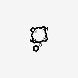 C1=Cc2cc3ccc([nH]3)c(Oc3ccccc3)c3nc(cc4ccc(cc1n2)[nH]4)C=C3